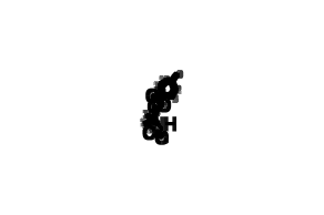 Cc1ccc(S(=O)(=O)OCC2(C)COC(=O)N2)cc1